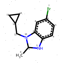 CC1Nc2ccc(Br)cc2N1CC1CC1